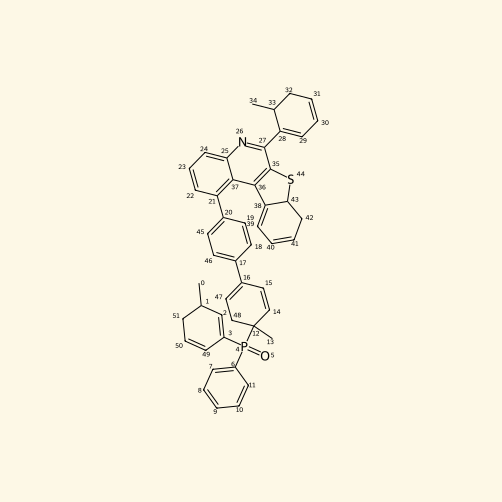 CC1C=C(P(=O)(c2ccccc2)C2(C)C=CC(c3ccc(-c4cccc5nc(C6=CC=CCC6C)c6c(c45)C4=CC=CCC4S6)cc3)=CC2)C=CC1